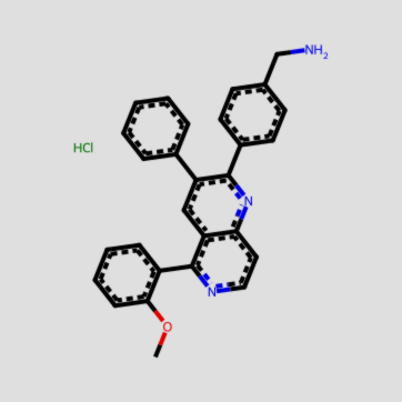 COc1ccccc1-c1nccc2nc(-c3ccc(CN)cc3)c(-c3ccccc3)cc12.Cl